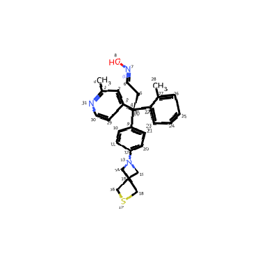 Cc1cc([C@@](C/C=N/O)(c2ccc(N3CC4(CSC4)C3)cc2)c2ccccc2C)ccn1